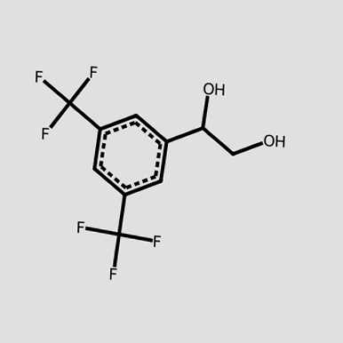 OCC(O)c1cc(C(F)(F)F)cc(C(F)(F)F)c1